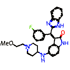 COCCN1CCC(Nc2ccc3c(c2)C(=C(c2cccc(F)c2)c2nc4ccccc4[nH]2)C(=O)N3)CC1